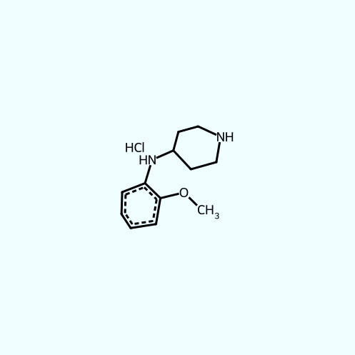 COc1ccccc1NC1CCNCC1.Cl